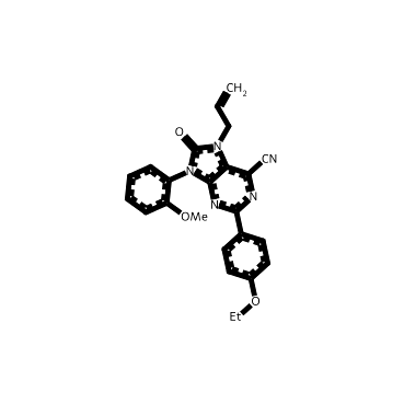 C=CCn1c(=O)n(-c2ccccc2OC)c2nc(-c3ccc(OCC)cc3)nc(C#N)c21